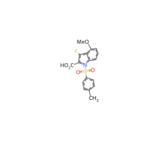 COc1cccc2c1c(F)c(C(=O)O)n2S(=O)(=O)c1ccc(C)cc1